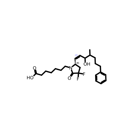 CC(CCCc1ccccc1)C(O)/C=C\[C@H]1CC(F)(F)C(=O)N1CCCCCCC(=O)O